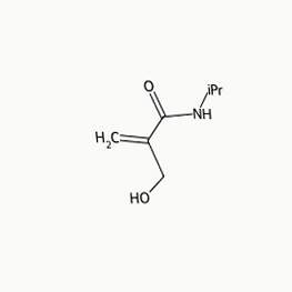 C=C(CO)C(=O)NC(C)C